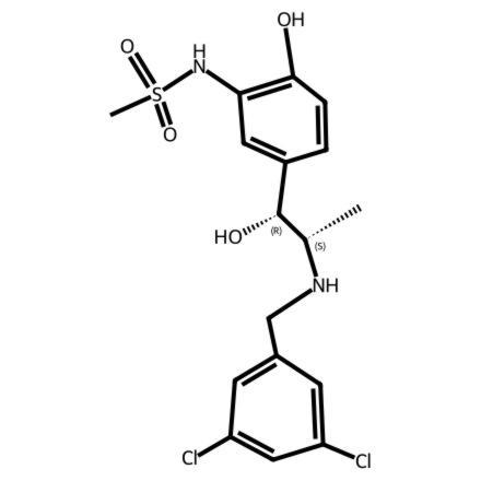 C[C@H](NCc1cc(Cl)cc(Cl)c1)[C@H](O)c1ccc(O)c(NS(C)(=O)=O)c1